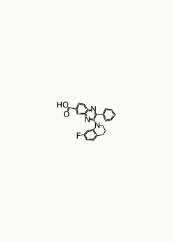 O=C(O)c1ccc2nc(-c3ccccc3)c(N3CCCc4ccc(F)cc43)nc2c1